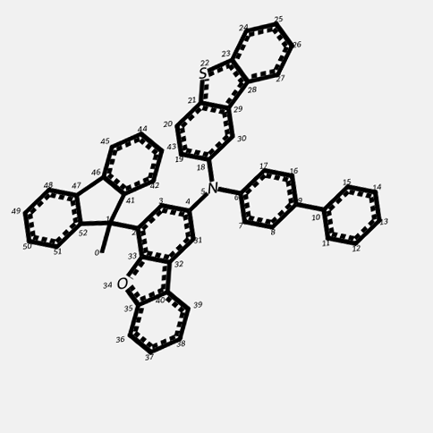 CC1(c2cc(N(c3ccc(-c4ccccc4)cc3)c3ccc4sc5ccccc5c4c3)cc3c2oc2ccccc23)c2ccccc2-c2ccccc21